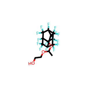 CC(OCCO)OC1(F)C2(F)C(F)(F)C3(F)C(F)(F)C(F)(C2(F)F)C(F)(F)C1(F)C3(F)F